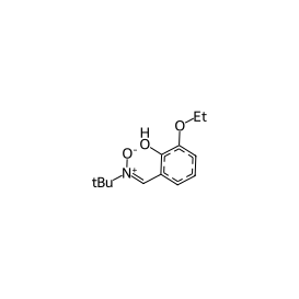 CCOc1cccc(C=[N+]([O-])C(C)(C)C)c1O